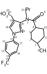 CC1CCC(C(=O)N(c2nn(-c3ccc(C(F)(F)F)cc3)cc2C(=O)O)C(C)C)CC1